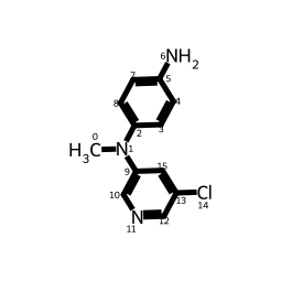 CN(c1ccc(N)cc1)c1cncc(Cl)c1